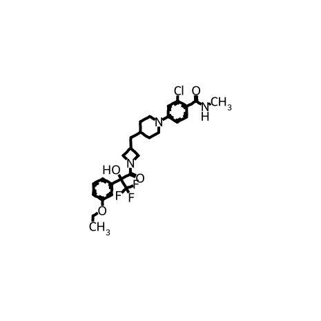 CCOc1cccc(C(O)(C(=O)N2CC(CC3CCN(c4ccc(C(=O)NC)c(Cl)c4)CC3)C2)C(F)(F)F)c1